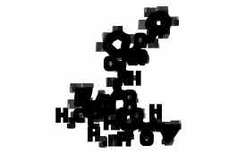 CCCC(NC(=O)[C@@H]1CC2(CN1C(=O)CNC(=O)NC1(C(=O)OCc3ccccc3)CCCCC1)C(C)(C)C21CCC1)C(=O)C(=O)NC1CC1